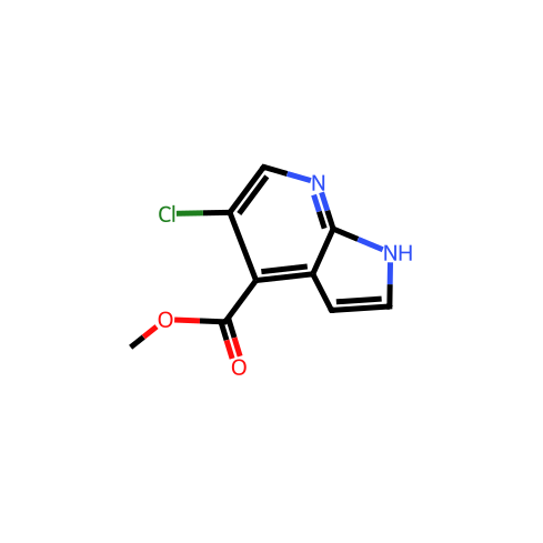 COC(=O)c1c(Cl)cnc2[nH]ccc12